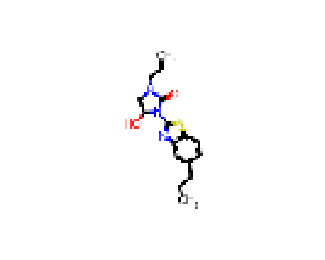 C=CCN1CC(O)N(c2nc3cc(CCC)ccc3s2)C1=O